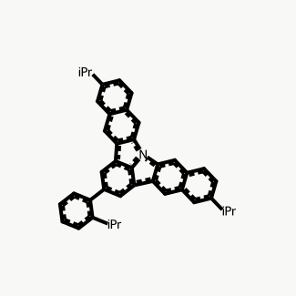 CC(C)c1ccc2cc3c(cc2c1)c1cc(-c2ccccc2C(C)C)cc2c4cc5cc(C(C)C)ccc5cc4n3c12